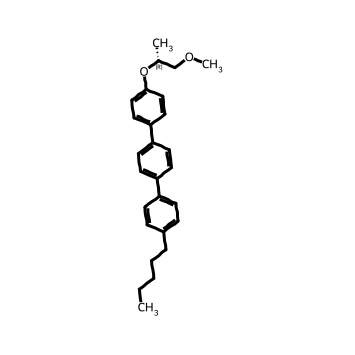 CCCCCc1ccc(-c2ccc(-c3ccc(O[C@H](C)COC)cc3)cc2)cc1